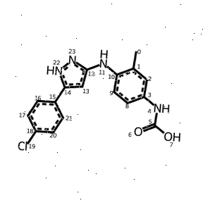 Cc1cc(NC(=O)O)ccc1Nc1cc(-c2ccc(Cl)cc2)[nH]n1